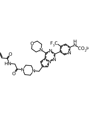 C=CC(=O)NCC(=O)N1CCN(Cc2cc3c(N4CCOCC4)nc(-c4cnc(NC(=O)O)cc4C(F)(F)F)nn3c2)CC1